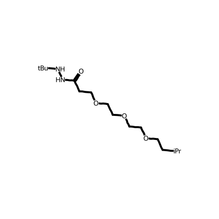 CC(C)CCOCCOCCOCCC(=O)NNC(C)(C)C